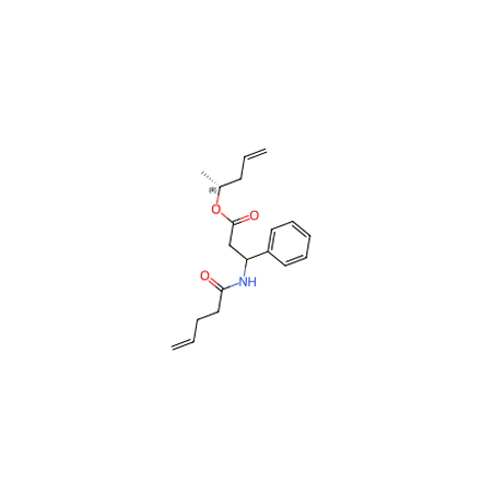 C=CCCC(=O)NC(CC(=O)O[C@H](C)CC=C)c1ccccc1